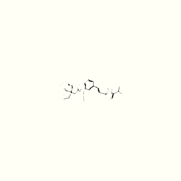 CCC(CC)(CC(=O)Nc1cccc(C=Cc2nc(C(C)C)cs2)c1)C(=O)O